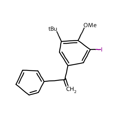 C=C(c1ccccc1)c1cc(I)c(OC)c(C(C)(C)C)c1